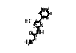 Cl.NCC(=O)Nc1nc(-c2cccnc2)cs1